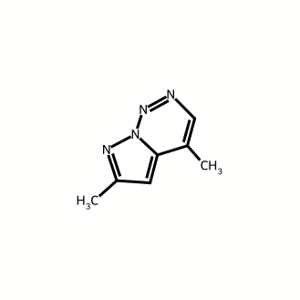 Cc1cc2c(C)cnnn2n1